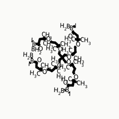 BB(I)C(=O)CC(C)(C)OCCC(C)(C)OCC(COC(C)(C)CCOC(C)(C)CC(=O)B(B)I)(COC(C)(C)CCOC(C)(C)CC(=O)B(B)I)COC(C)(C)CCOC(C)(C)CC(=O)B(B)I